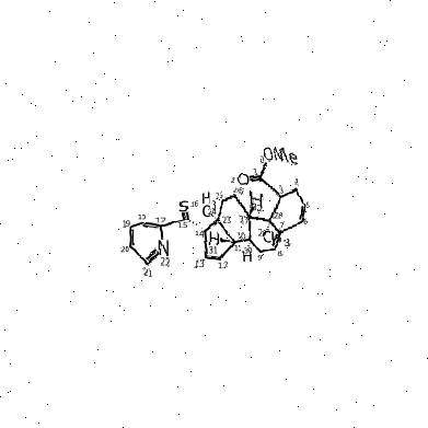 COC(=O)C1CC=CC2=CC[C@H]3[C@@H]4CC[C@H](C(=S)c5ccccn5)[C@@]4(C)CC[C@@H]3[C@]21C